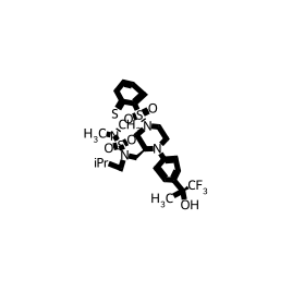 CC(C)CN(C[C@H]1CN(S(=O)(=O)C2=CC=CCC2=S)CCN1c1ccc([C@@](C)(O)C(F)(F)F)cc1)S(=O)(=O)N(C)C